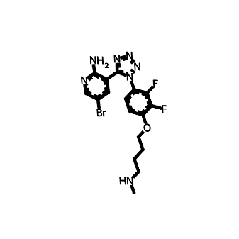 CNCCCCOc1ccc(-n2nnnc2-c2cc(Br)cnc2N)c(F)c1F